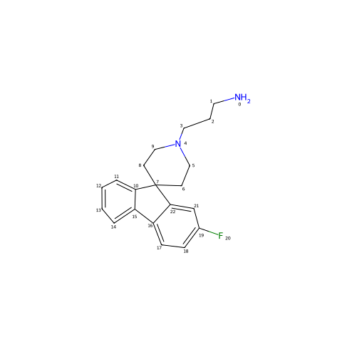 NCCCN1CCC2(CC1)c1ccccc1-c1ccc(F)cc12